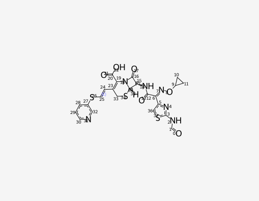 O=CNc1nc(C(=NOC2CC2)C(=O)N[C@@H]2C(=O)N3C(C(=O)O)=C(/C=C/Sc4cccnc4)CS[C@@H]23)cs1